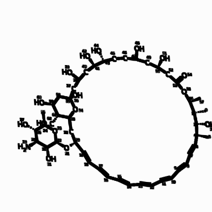 C[C@@H]1[C@H](O)[C@@H](C)/C=C/C=C/C=C/C=C/C=C/C=C/C=C/[C@H](O[C@@H]2O[C@H](C)[C@@H](O)[C@H](N)[C@@H]2O)CC2O[C@](O)(CC(O)C[C@@H](O)[C@H](O)CCC(O)C[C@@H](O)CC(=O)O[C@H]1C)C[C@H](O)[C@H]2C(=O)O